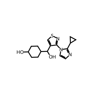 OC1CCC(C(O)c2csnc2-n2ccnc2C2CC2)CC1